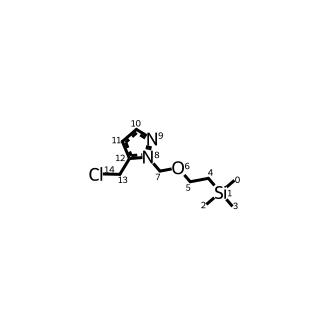 C[Si](C)(C)CCOCn1nccc1CCl